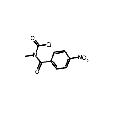 CN(C(=O)Cl)C(=O)c1ccc([N+](=O)[O-])cc1